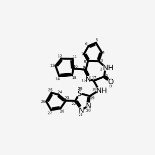 O=C1Nc2ccccc2C(c2ccccc2)=NC1Nc1nnc(-c2ccccc2)s1